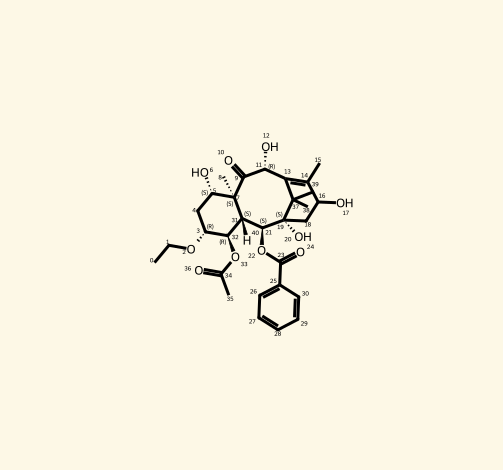 CCO[C@@H]1C[C@H](O)[C@@]2(C)C(=O)[C@H](O)C3=C(C)C(O)C[C@@](O)([C@@H](OC(=O)c4ccccc4)[C@@H]2[C@H]1OC(C)=O)C3(C)C